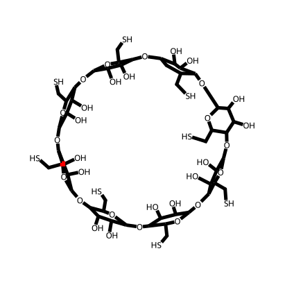 OC1C2CC(CS)C(OC3OC(CS)C(OC4OC(CS)C(OC5OC(CS)C(OC6OC(CS)C(OC7OC(CS)C(OC8OC(CS)C(OC9OC(CS)C(O2)C(O)C9O)C(O)C8O)C(O)C7O)C(O)C6O)C(O)C5O)C(O)C4O)C(O)C3O)C1O